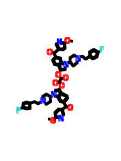 COc1ccc(C(=O)c2ccc3c(OC(=O)C(=O)Oc4cn(C5CCN(CCc6ccc(F)cc6)CC5)c5cc(C(=O)c6ccc(OC)nc6)ccc45)cn(C4CCN(CCc5ccc(F)cc5)CC4)c3c2)cn1